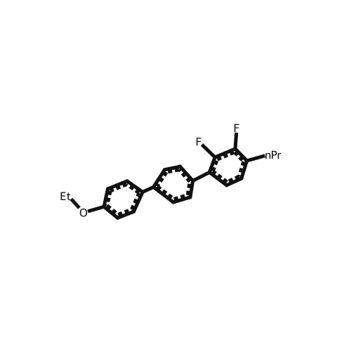 CCCc1ccc(-c2ccc(-c3ccc(OCC)cc3)cc2)c(F)c1F